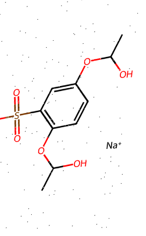 CC(O)Oc1ccc(OC(C)O)c(S(=O)(=O)[O-])c1.[Na+]